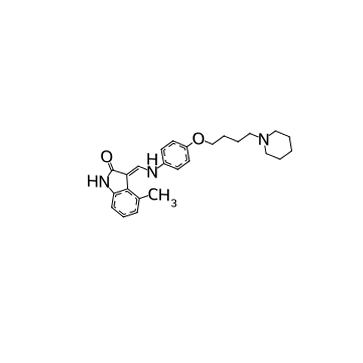 Cc1cccc2c1/C(=C\Nc1ccc(OCCCCN3CCCCC3)cc1)C(=O)N2